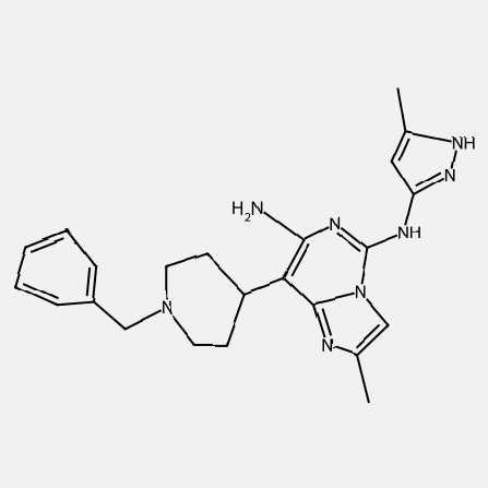 Cc1cn2c(Nc3cc(C)[nH]n3)nc(N)c(C3CCN(Cc4ccccc4)CC3)c2n1